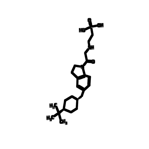 CC(C)(C)[C@H]1CC[C@H](Cc2ccc3c(c2)CCN3C(=O)CNCCP(=O)(O)O)CC1